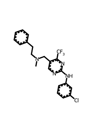 CN(CCc1ccccc1)Cc1cnc(Nc2cccc(Cl)c2)nc1C(F)(F)F